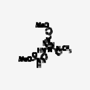 COCC(=O)Nc1cc(Nc2nc(-c3cccc(C(F)(F)F)n3)nc3c2ncn3Cc2ccc(OC)cc2)ccn1